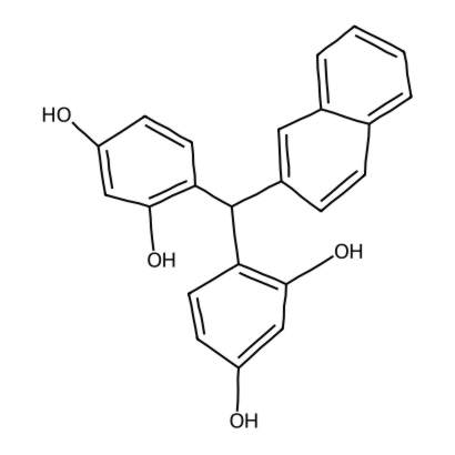 Oc1ccc(C(c2ccc3ccccc3c2)c2ccc(O)cc2O)c(O)c1